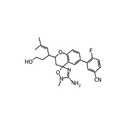 CC(C)=CC(CCO)C1CC2(N=C(N)N(C)O2)c2cc(-c3cc(C#N)ccc3F)ccc2O1